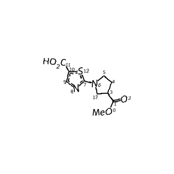 COC(=O)C1CCN(c2ncc(C(=O)O)s2)C1